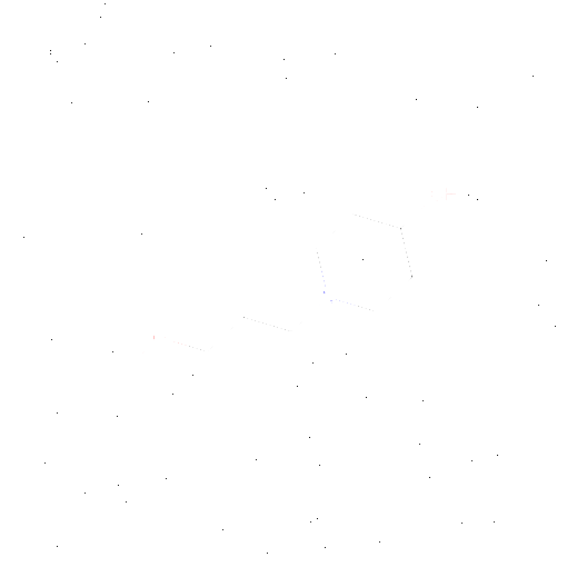 CCOCCCN1CCC(O)CC1